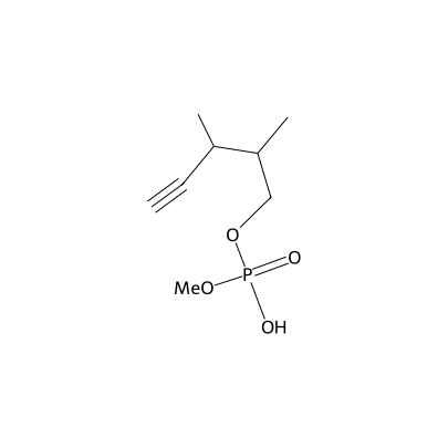 C#CC(C)C(C)COP(=O)(O)OC